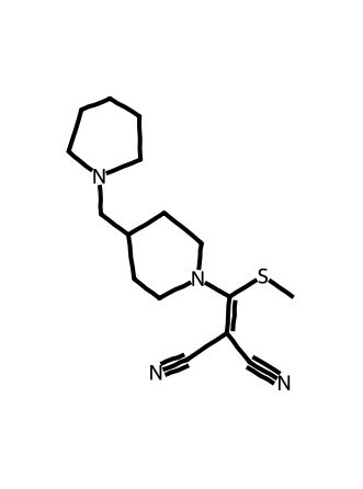 CSC(=C(C#N)C#N)N1CCC(CN2CCCCC2)CC1